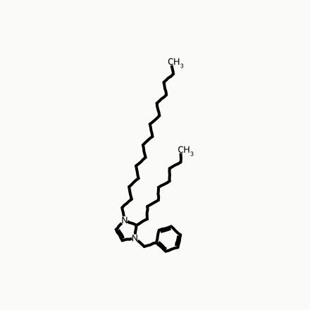 CCCCCCCCCCCCCCCN1C=CN(Cc2ccccc2)C1CCCCCCCC